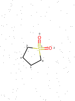 O=S1(=O)[C]CCC1